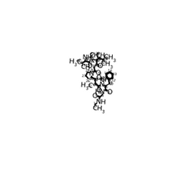 CCNC(=O)CNC(=O)[C@H](Cc1ccccc1)NC(=O)[C@H](C)[C@@H](OC)[C@@H]1CCCN1C(=O)C[C@@H](OC)[C@H]([C@@H](C)CC)N(C)C(=O)[C@@H](N)C(C)C